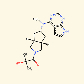 CN(c1ncnc2[nH]ccc12)[C@@H]1C[C@@H]2CN(C(=O)C(C)(C)O)C[C@@H]2C1